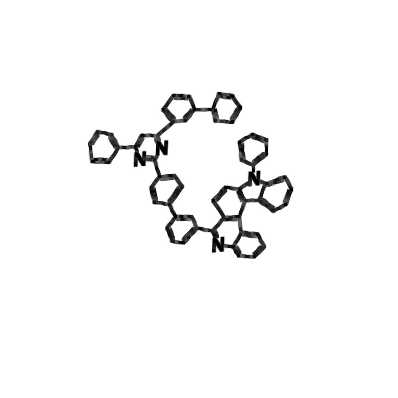 c1ccc(-c2cccc(-c3cc(-c4ccccc4)nc(-c4ccc(-c5cccc(-c6nc7ccccc7c7c6ccc6c7c7ccccc7n6-c6ccccc6)c5)cc4)n3)c2)cc1